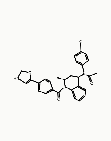 CC(=O)N(c1ccc(Cl)cc1)[C@@H]1C[C@H](C)N(C(=O)c2ccc(C3=CNCO3)cc2)c2ccccc21